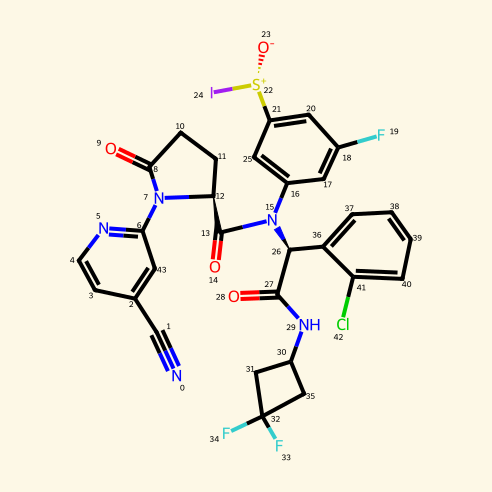 N#Cc1ccnc(N2C(=O)CC[C@H]2C(=O)N(c2cc(F)cc([S@@+]([O-])I)c2)[C@H](C(=O)NC2CC(F)(F)C2)c2ccccc2Cl)c1